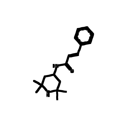 CC1(C)CC(NC(=O)/C=C/c2ccccc2)CC(C)(C)N1